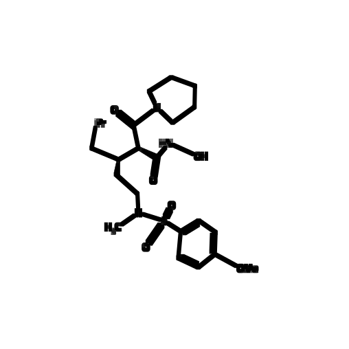 COc1ccc(S(=O)(=O)N(C)CC[C@@H](CC(C)C)[C@H](C(=O)NO)C(=O)N2CCCCC2)cc1